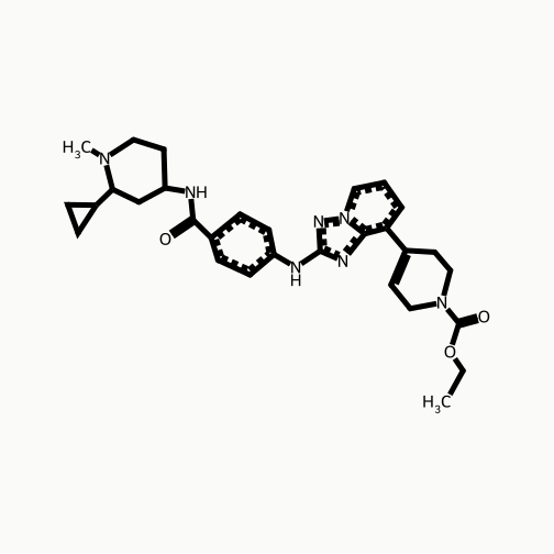 CCOC(=O)N1CC=C(c2cccn3nc(Nc4ccc(C(=O)NC5CCN(C)C(C6CC6)C5)cc4)nc23)CC1